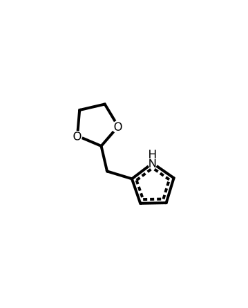 c1c[nH]c(CC2OCCO2)c1